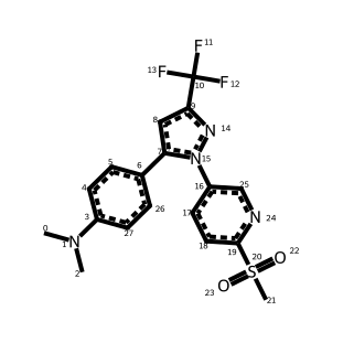 CN(C)c1ccc(-c2cc(C(F)(F)F)nn2-c2ccc(S(C)(=O)=O)nc2)cc1